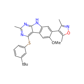 COc1cc2c(cc1-c1c(C)noc1C)[nH]c1nc(C)nc(Sc3cccc(C(C)(C)C)c3)c12